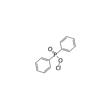 O=P(OCl)(c1ccccc1)c1ccccc1